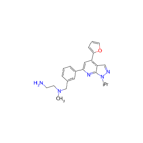 CC(C)n1ncc2c(-c3ccco3)cc(-c3cccc(CN(C)CCN)c3)nc21